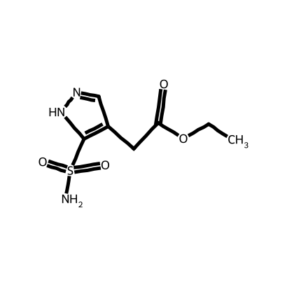 CCOC(=O)Cc1cn[nH]c1S(N)(=O)=O